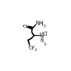 Cl.NC(=O)C(N)CC(F)(F)F